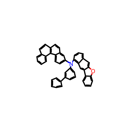 c1ccc(-c2cccc(N(c3ccc4c(ccc5ccc6ccccc6c54)c3)c3cccc4cc5oc6ccccc6c5cc34)c2)cc1